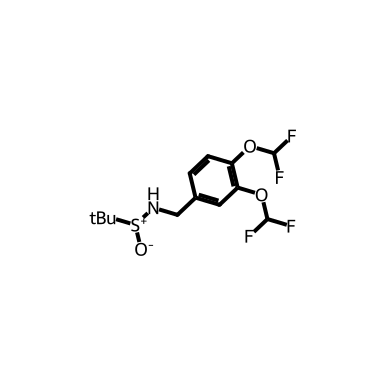 CC(C)(C)[S+]([O-])NCc1ccc(OC(F)F)c(OC(F)F)c1